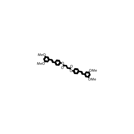 COc1cc(/C=C/c2ccc(OC(=O)CCC(=O)Oc3ccc(/C=C/c4cc(OC)cc(OC)c4)cc3)cc2)cc(OC)c1